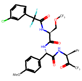 COc1ccc([C@H](NC(=O)[C@H](COC(F)(F)F)NC(=O)C(F)(F)c2cccc(Cl)c2)C(=O)N[C@H](C(=O)C(F)(F)F)C(C)C)cc1